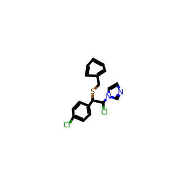 Clc1ccc(C(SCc2ccccc2)C(Cl)n2ccnc2)cc1